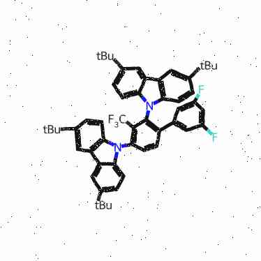 CC(C)(C)c1ccc2c(c1)c1cc(C(C)(C)C)ccc1n2-c1ccc(-c2cc(F)cc(F)c2)c(-n2c3ccc(C(C)(C)C)cc3c3cc(C(C)(C)C)ccc32)c1C(F)(F)F